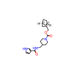 O=C(NCC1CCN(C(=O)OCC2C[C@H]3CC[C@H]2C3)CC1)c1cc[nH]c1